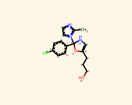 Cc1nccn1C1(c2ccc(Cl)cc2)NC=C(CCCO)O1